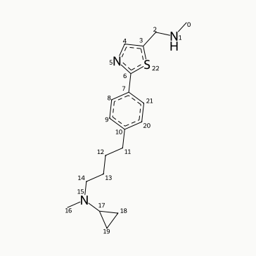 CNCc1cnc(-c2ccc(CCCCN(C)C3CC3)cc2)s1